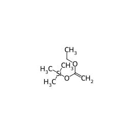 C=C(OCC)O[Si](C)(C)C